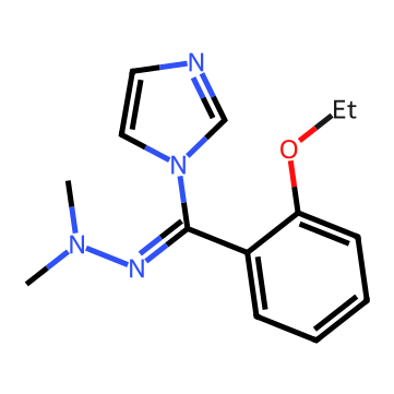 CCOc1ccccc1C(=NN(C)C)n1ccnc1